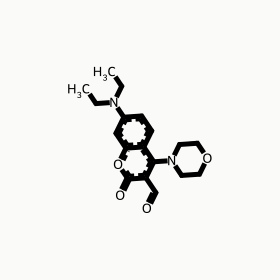 CCN(CC)c1ccc2c(N3CCOCC3)c(C=O)c(=O)oc2c1